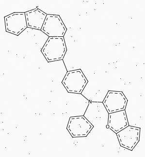 c1ccc(N(c2ccc(-c3ccc4c(ccc5sc6ccccc6c54)c3)cc2)c2cccc3c2oc2ccccc23)cc1